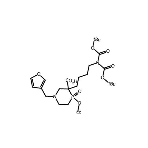 CCOP1(=O)CCN(Cc2ccoc2)CC1(CCCCN(C(=O)OC(C)(C)C)C(=O)OC(C)(C)C)C(=O)O